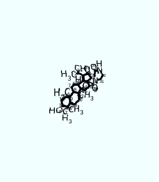 CC(C)C1=C2[C@H]3CCC4[C@@]5(C)CC[C@H](O)C(C)(C)C5CC[C@@]4(C)[C@]3(C)CC[C@@]2(C(=O)N2CCNC(=O)C2)CC1=O